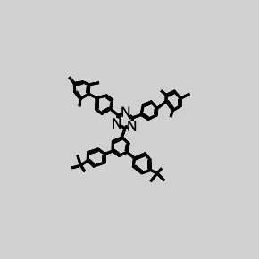 Cc1cc(C)c(-c2ccc(-c3nc(-c4ccc(-c5c(C)cc(C)cc5C)cc4)nc(-c4cc(-c5ccc(C(C)(C)C)cc5)cc(-c5ccc(C(C)(C)C)cc5)c4)n3)cc2)c(C)c1